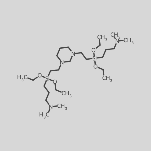 CCO[Si](CCCN(C)C)(CCN1CCCN(CC[Si](CCCN(C)C)(OCC)OCC)C1)OCC